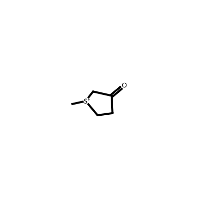 C[S+]1CCC(=O)C1